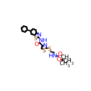 CC(C)(C)OC(=O)NCCSc1nc(C(=O)Nc2nc3ccc(-c4ccccc4)cc3s2)cs1